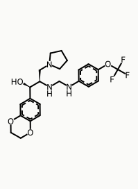 O[C@H](c1ccc2c(c1)OCCO2)[C@@H](CN1CCCC1)NCNc1ccc(OC(F)(F)F)cc1